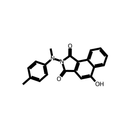 Cc1ccc(N(C)N2C(=O)c3cc(O)c4ccccc4c3C2=O)cc1